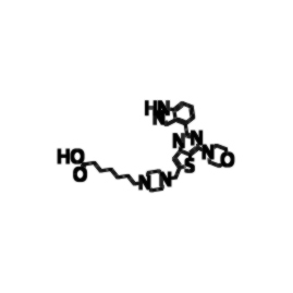 O=C(O)CCCCCCN1CCN(Cc2cc3nc(-c4cccc5[nH]ncc45)nc(N4CCOCC4)c3s2)CC1